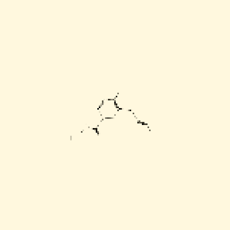 C/C=C/Cc1cc(C(=O)OC)ccc1O